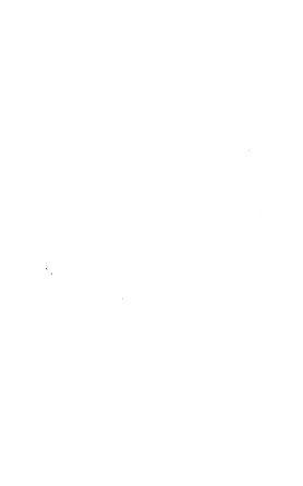 C(=C/COc1ccc(C2CCNCC2OCc2ccc3ccccc3c2)cc1)/COc1ccccc1